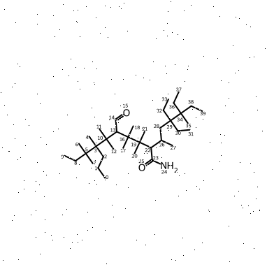 CCCC(C)(C(C)(C)CC)C(C)(C)C(C=O)C(C)(C)C(C)(C)C(C(N)=O)C(C)CC(CC)(CC)C(C)(CC)CC